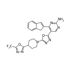 Nc1ncc(-c2nnc(N3CCC(c4nnc(C(F)(F)F)o4)CC3)o2)c(C2=Cc3ccccc3C2)n1